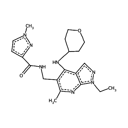 CCn1ncc2c(NC3CCOCC3)c(CNC(=O)c3ccn(C)n3)c(C)nc21